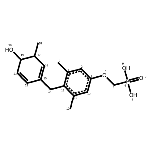 Cc1cc(OCP(=O)(O)O)cc(C)c1CC1=CC(C)C(O)C=C1